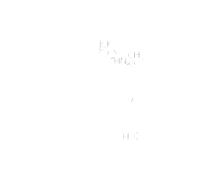 CCCCCCCCC=CCCCCCCCC(=O)NC(C)Cc1cccc(C(F)(F)F)c1